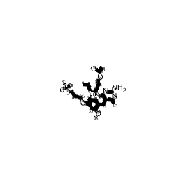 CCC[C@@H](CCOC(C)=O)Nc1nc(N)nc(C)c1Cc1ccc(OCCCOS(C)(=O)=O)cc1OC